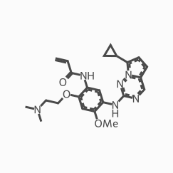 C=CC(=O)Nc1cc(Nc2ncc3ccc(C4CC4)n3n2)c(OC)cc1OCCN(C)C